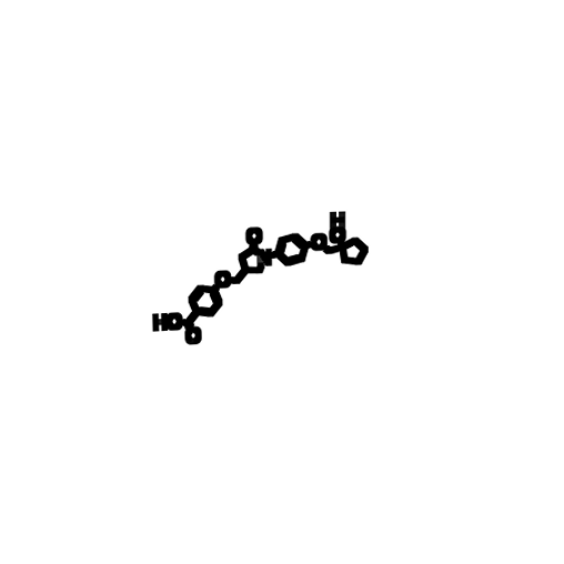 O=C(O)c1ccc(OCC2CC(=O)N(c3ccc(OCC4(O)CCCC4)cc3)C2)cc1